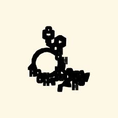 C=C[C@@H]1C[C@]1(NC(=O)[C@@H]1C[C@@H]2CN1C(=O)[C@H](C(C)(C)C)NC(=O)O[C@@H]1CC1CCCCCc1c(nc3ccccc3c1CN1CCOCC1)O2)C(=O)NS(=O)(=O)C1(C)CC1